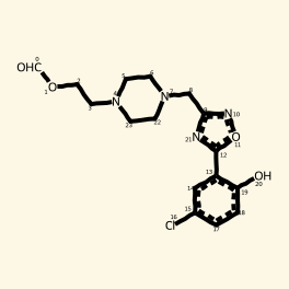 O=COCCN1CCN(Cc2noc(-c3cc(Cl)ccc3O)n2)CC1